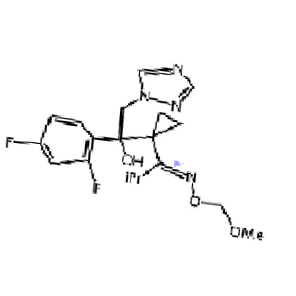 COCO/N=C(\C(C)C)C1(C(O)(Cn2cncn2)c2ccc(F)cc2F)CC1